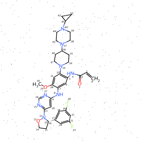 C=CC(=O)Nc1cc(Nc2cc(N3OCC[C@H]3c3cc(F)cc(F)c3)ncn2)c(OC)cc1N1CCC(N2CCN(C3CC3)CC2)CC1